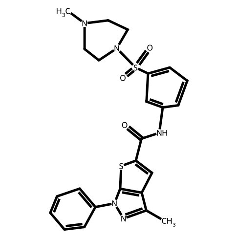 Cc1nn(-c2ccccc2)c2sc(C(=O)Nc3cccc(S(=O)(=O)N4CCN(C)CC4)c3)cc12